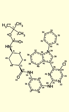 CC(C)(C)OC(=O)N[C@H]1CC[C@@H](C(=O)Nc2cccc(Nc3ncc(Cl)c(-c4cn(-c5ccccc5)c5ccccc45)n3)c2)CC1